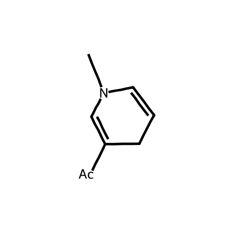 CC(=O)C1=CN(C)C=CC1